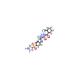 CN1CCC(S(=O)(=O)c2ccc3nc(NC(=O)NC(=O)c4ccccc4Cl)sc3c2)C1